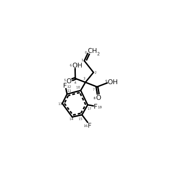 C=CCC(C(=O)O)(C(=O)O)c1c(F)ccc(F)c1F